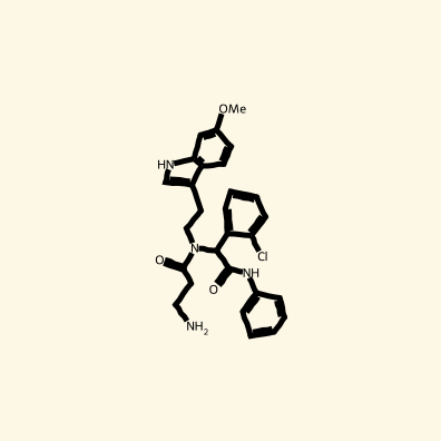 COc1ccc2c(CCN(C(=O)CCN)C(C(=O)Nc3ccccc3)c3ccccc3Cl)c[nH]c2c1